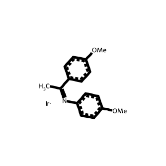 COc1ccc(N=C(C)c2ccc(OC)cc2)cc1.[Ir]